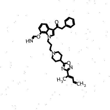 C=C/C=C(\C)c1noc(C2CCN(CCCn3cc(C(=O)Cc4ccccc4)c4cccc(OC=N)c43)CC2)n1